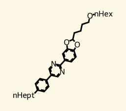 CCCCCCCc1ccc(-c2cnc(-c3ccc4c(c3)OC(CCCCOCCCCCC)O4)nc2)cc1